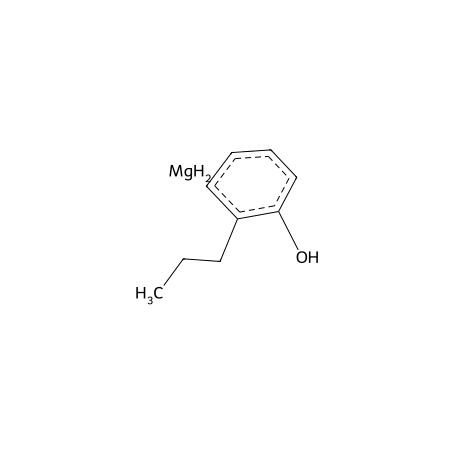 CCCc1ccccc1O.[MgH2]